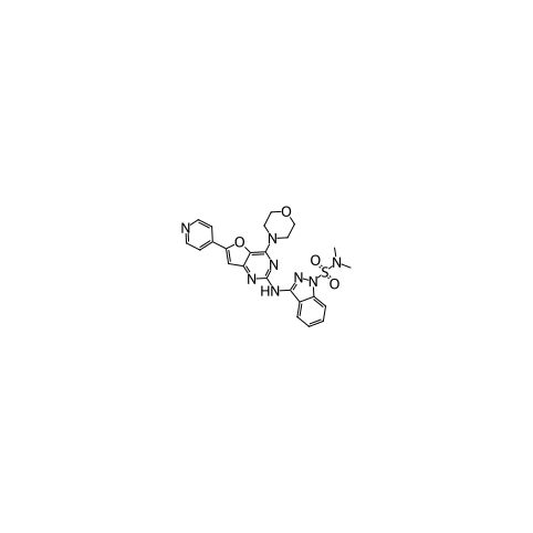 CN(C)S(=O)(=O)n1nc(Nc2nc(N3CCOCC3)c3oc(-c4ccncc4)cc3n2)c2ccccc21